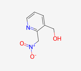 O=[N+]([O-])Cc1ncccc1CO